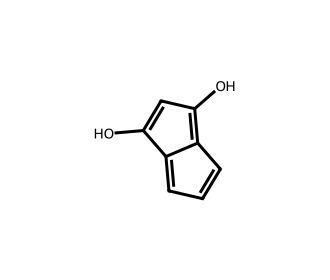 OC1=CC(O)=C2C=CC=C12